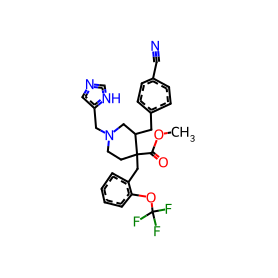 COC(=O)C1(Cc2ccccc2OC(F)(F)F)CCN(Cc2cnc[nH]2)CC1Cc1ccc(C#N)cc1